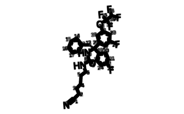 N#CCCCCCNC(=O)N[C@](Cc1ccccc1)(c1ccc(F)cc1)c1cc(F)cc(OC(F)(F)C(F)F)c1